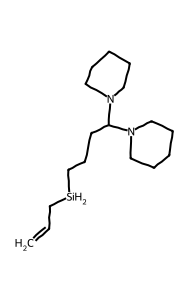 C=CC[SiH2]CCCC(N1CCCCC1)N1CCCCC1